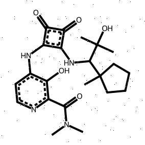 CN(C)C(=O)c1nccc(Nc2c(NC(C(C)(C)O)C3(C)CCCC3)c(=O)c2=O)c1O